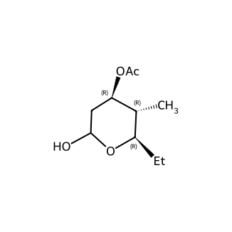 CC[C@H]1OC(O)C[C@@H](OC(C)=O)[C@@H]1C